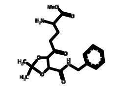 COC(=O)C(N)CCC(=O)C1OC(C)(C)OC1C(=O)NCc1ccccc1